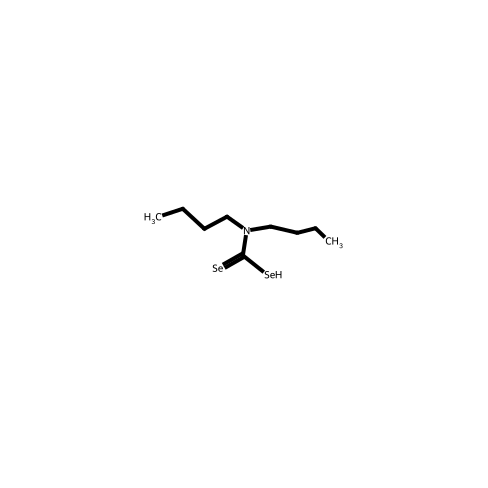 CCCCN(CCCC)C(=[Se])[SeH]